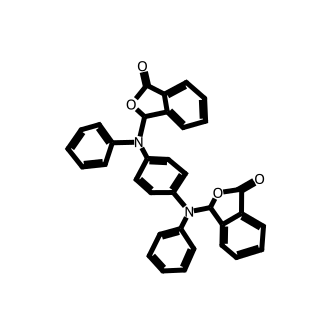 O=C1OC(N(c2ccccc2)c2ccc(N(c3ccccc3)C3OC(=O)c4ccccc43)cc2)c2ccccc21